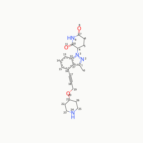 Cc1nn(C2CCC(=O)NC2=O)c2cccc(C#CCOC3CCNCC3)c12